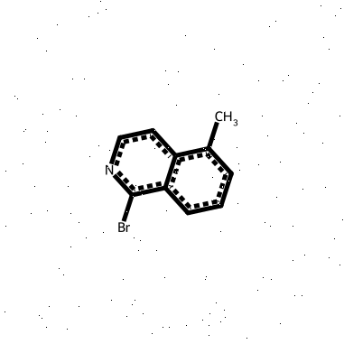 Cc1cccc2c(Br)nccc12